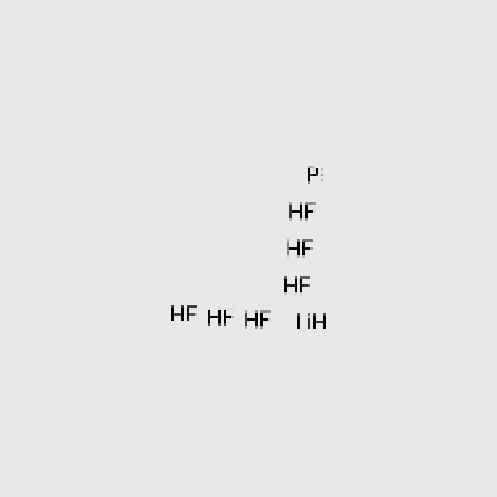 F.F.F.F.F.F.[LiH].[P]